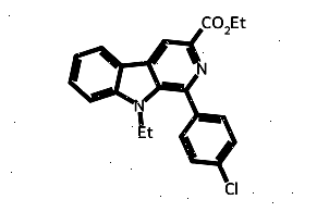 CCOC(=O)c1cc2c3ccccc3n(CC)c2c(-c2ccc(Cl)cc2)n1